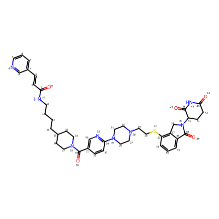 O=C(/C=C/c1cccnc1)NCCCCC1CCN(C(=O)c2ccc(N3CCN(CCSc4cccc5c4CN(C4CCC(=O)NC4=O)C5=O)CC3)nc2)CC1